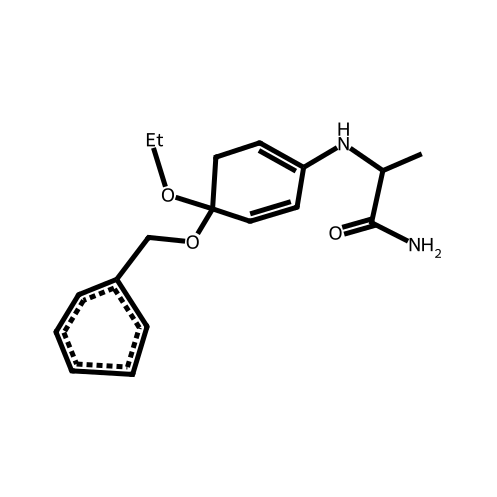 CCOC1(OCc2ccccc2)C=CC(NC(C)C(N)=O)=CC1